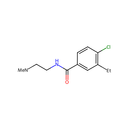 CCc1cc(C(=O)NCCNC)ccc1Cl